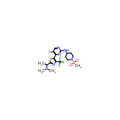 CC(c1nc(C(F)(F)F)c(-c2nc(NC3CCN(S(C)(=O)=O)CC3)ncc2F)s1)N(C)C